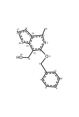 Cc1nc(OCc2ccccc2)c(CO)c2sncc12